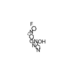 Oc1nc(Oc2ccc3c(c2)CCN3c2cccc(F)c2)nc2cnccc12